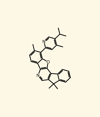 Cc1cc(-c2c(C)ccc3c2oc2c4c(cnc23)C(C)(C)c2ccccc2-4)ncc1C(C)C